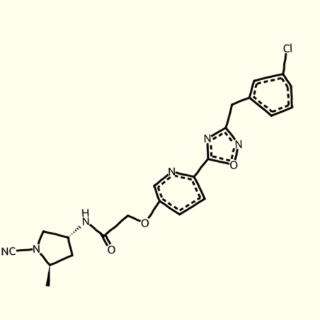 C[C@@H]1C[C@@H](NC(=O)COc2ccc(-c3nc(Cc4cccc(Cl)c4)no3)nc2)CN1C#N